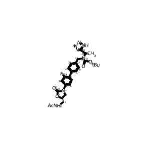 CC(=O)NC[C@H]1CN(c2ccc(-c3ccc(CN(C(=O)OC(C)(C)C)C(C)c4nnn[nH]4)cc3)c(F)c2)C(=O)O1